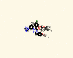 COc1cc(NC(C(=O)N2CCc3ccc(OC(F)(F)F)cc32)c2ccc(F)cc2OCCO[Si](C)(C)C(C)(C)C)cc(-n2cncn2)c1